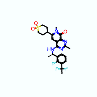 Cc1nc(N[C@H](C)c2cccc(C(C)(F)F)c2F)c2cc(C3CCS(=O)(=O)CC3)n(C)c(=O)c2n1